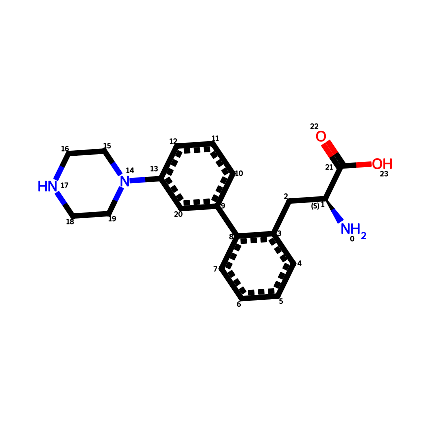 N[C@@H](Cc1ccccc1-c1cccc(N2CCNCC2)c1)C(=O)O